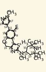 CN(c1nc2c(s1)-c1cc(F)c(-c3cnn(C)c3)cc1OC2)C1CC(C)(C)NC(C)(C)C1